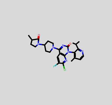 Cc1ccnc(C(C)C)c1-n1c(=O)nc(N2CCC(N3CCC(C)C3=O)CC2)c2cc(F)c(Cl)nc21